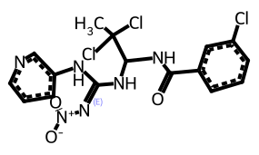 CC(Cl)(Cl)C(NC(=O)c1cccc(Cl)c1)N/C(=N/[N+](=O)[O-])Nc1cccnc1